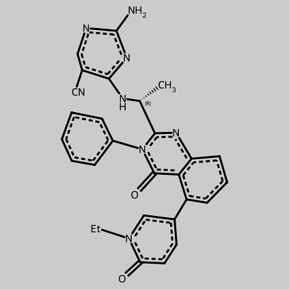 CCn1cc(-c2cccc3nc([C@@H](C)Nc4nc(N)ncc4C#N)n(-c4ccccc4)c(=O)c23)ccc1=O